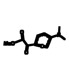 COC(=O)C(=O)c1ccc(N(C)C)cc1